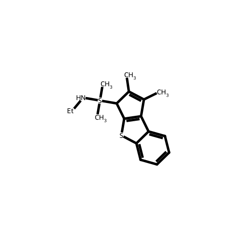 CCNS(C)(C)C1C(C)=C(C)c2c1sc1ccccc21